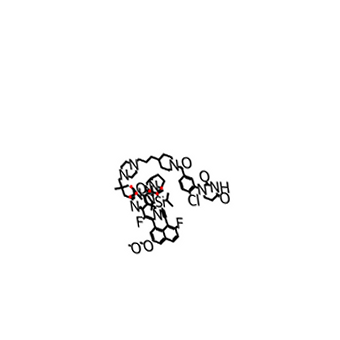 COCOc1cc(-c2ncc3c(N4CC5CCC(C4)N5C(=O)OC(C)(C)C)nc(CC(C)(C)CN4CCN(CCCC5CCN(C(=O)c6ccc(Cl)c(N7CCC(=O)NC7=O)c6)CC5)CC4)nc3c2F)c2c(C#C[Si](C(C)C)(C(C)C)C(C)C)c(F)ccc2c1